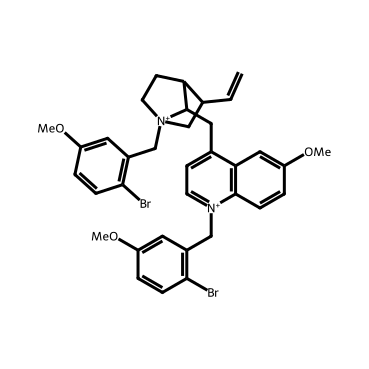 C=CC1C[N+]2(Cc3cc(OC)ccc3Br)CCC1C2Cc1cc[n+](Cc2cc(OC)ccc2Br)c2ccc(OC)cc12